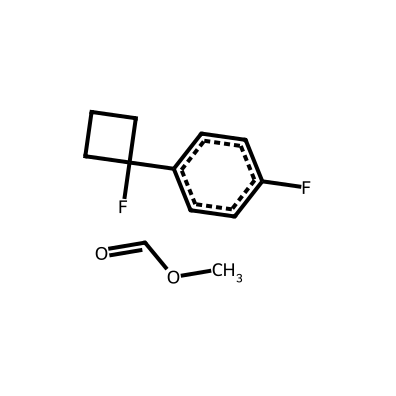 COC=O.Fc1ccc(C2(F)CCC2)cc1